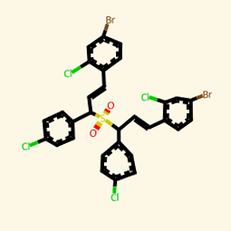 O=S(=O)(C(C=Cc1ccc(Br)cc1Cl)c1ccc(Cl)cc1)C(C=Cc1ccc(Br)cc1Cl)c1ccc(Cl)cc1